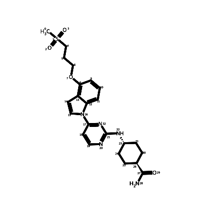 CS(=O)(=O)CCCOc1cccc2c1ccn2-c1ccnc(N[C@H]2CC[C@H](C(N)=O)CC2)n1